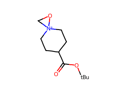 CC(C)(C)OC(=O)C1CC[N+]2(CC1)CO2